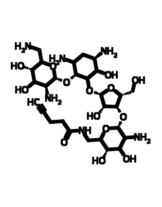 C#CCCC(=O)NCC1O[C@H](O[C@@H]2[C@H](O)[C@H](OC3C(O)[C@H](N)CC(N)[C@H]3O[C@H]3OC(CN)[C@@H](O)C(O)[C@@H]3N)O[C@@H]2CO)C(N)C(O)[C@@H]1O